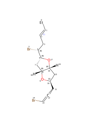 CC/C=C/C[C@@H](Br)[C@H]1C[C@H]2O[C@H](C=C=CBr)C[C@H]2O1